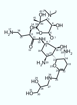 CN(C)[C@@H]1[C@@H](O)[C@@H](O[C@H]2[C@H](NC(=O)[C@H](O)CCN)C[C@H](N)C([C@H]3OC(CNCC(O)CO)=CC[C@H]3N)[C@@H]2O)OC[C@]1(C)O